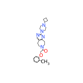 Cc1ccccc1OCC(=O)N1CCc2cnc(N3CCN(C4CCC4)CC3)nc2CC1